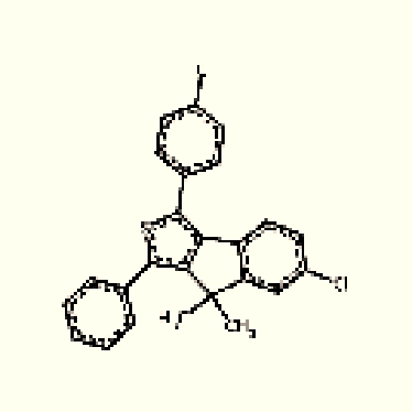 CC1(C)c2cc(Cl)ccc2-c2c(-c3ccc(Cl)cc3)sc(-c3ccccc3)c21